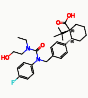 CCN(CCO)C(=O)N(Cc1ccc([C@H]2CCCC[C@]2(C(=O)O)C(C)(C)C)cc1)c1ccc(F)cc1